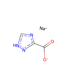 O=C([O-])c1nc[nH]n1.[Na+]